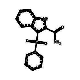 NC(=O)c1[nH]c2ccccc2c1S(=O)(=O)c1ccccc1